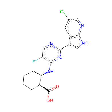 O=C(O)[C@H]1CCCC[C@H]1Nc1nc(-c2c[nH]c3ncc(Cl)cc23)ncc1F